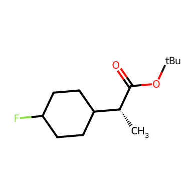 C[C@@H](C(=O)OC(C)(C)C)C1CCC(F)CC1